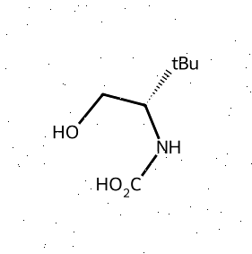 CC(C)(C)[C@@H](CO)NC(=O)O